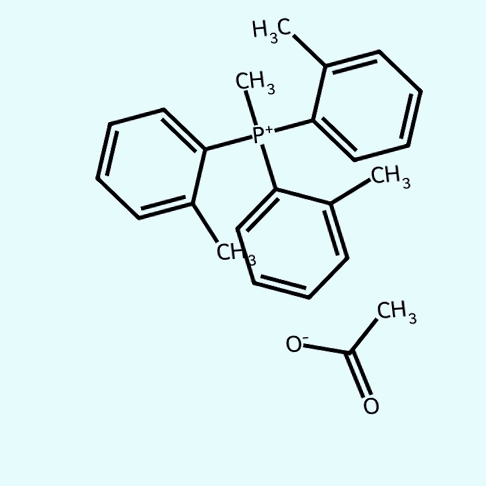 CC(=O)[O-].Cc1ccccc1[P+](C)(c1ccccc1C)c1ccccc1C